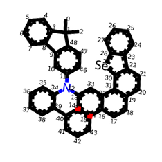 CC1(C)c2ccccc2-c2cc(N(c3ccc4ccc5ccc6c7ccccc7[se]c6c5c4c3)c3ccccc3-c3ccccc3)ccc21